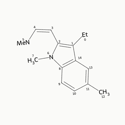 CCc1c(/C=C\NC)n(C)c2ccc(C)cc12